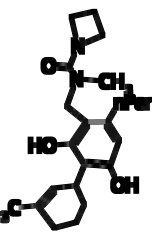 CCCCCc1cc(O)c(C2C=C(C)CCC2)c(O)c1CN(C)C(=O)N1CCC1